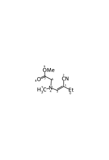 CCC(C#N)=CN(C)CC(=O)OC